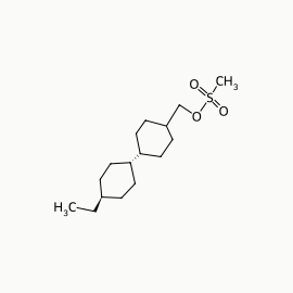 CC[C@H]1CC[C@H](C2CCC(COS(C)(=O)=O)CC2)CC1